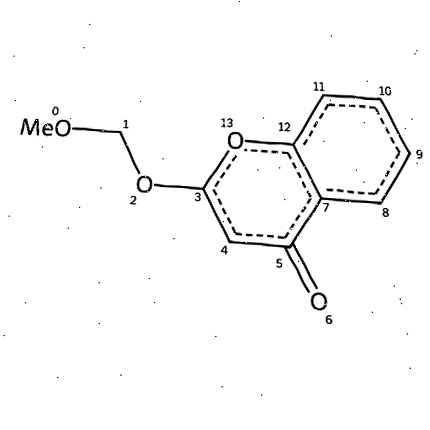 COCOc1cc(=O)c2ccccc2o1